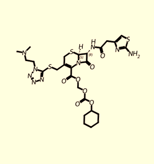 CN(C)CCn1nnnc1SCC1=C(C(=O)OCOC(=O)OC2CCCCC2)N2C(=O)[C@@H](NC(=O)Cc3csc(N)n3)[C@@H]2SC1